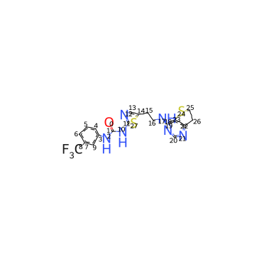 O=C(Nc1cccc(C(F)(F)F)c1)Nc1ncc(CCNc2ncnc3c2SCC3)s1